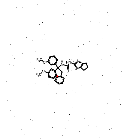 O=C(Nc1nc2c(s1)CCC2)NC(Cc1ccccc1)(c1cccc(OC(F)(F)F)c1)c1cccc(OC(F)(F)F)c1